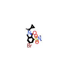 C[C@@H](C1CC1)N1Cc2cc(Br)cc(S(=O)(=O)N(C)C)c2C1=O